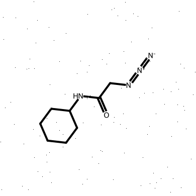 [N-]=[N+]=NCC(=O)NC1CCCCC1